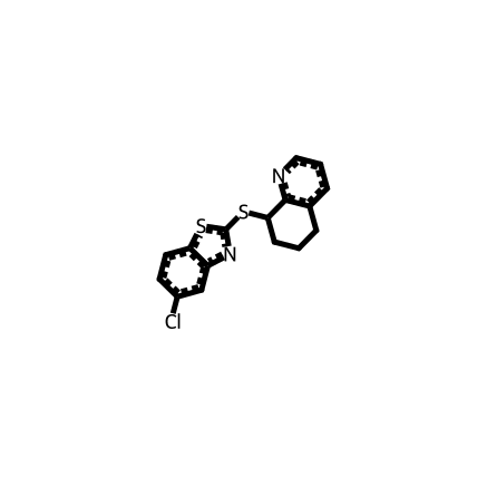 Clc1ccc2sc(SC3CCCc4cccnc43)nc2c1